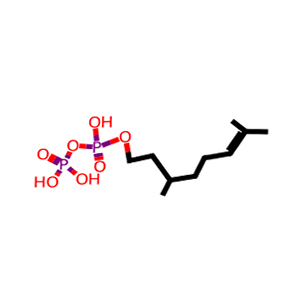 CC(C)=CCCC(C)CCOP(=O)(O)OP(=O)(O)O